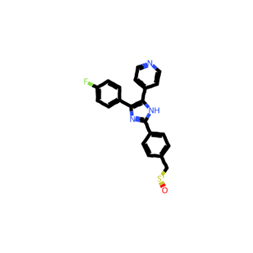 O=[S+]Cc1ccc(-c2nc(-c3ccc(F)cc3)c(-c3ccncc3)[nH]2)cc1